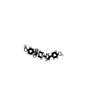 COc1ccc(-c2csc(N3CCN(S(=O)(=O)c4ccc(OC)cc4)CC3)n2)cc1